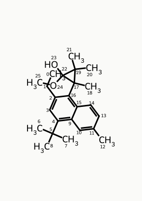 CCc1cc(C(C)(C)C)c2cc(C)ccc2c1C1(C)C(C)(C)C1(O)OC